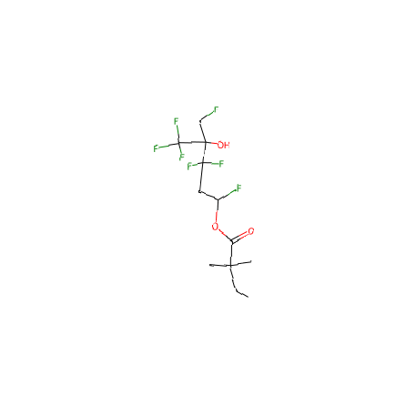 CCC(C)(C)C(=O)OC(F)CC(F)(F)C(O)(CF)C(F)(F)F